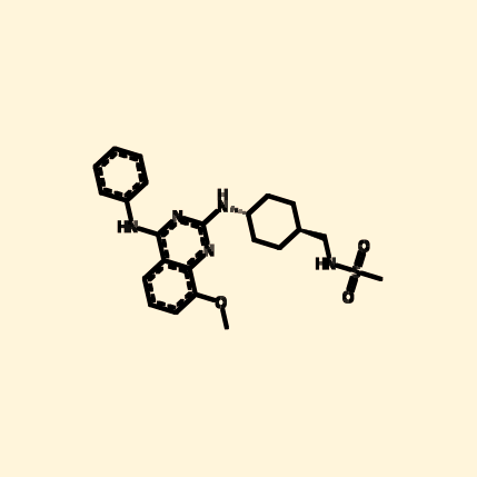 COc1cccc2c(Nc3ccccc3)nc(N[C@H]3CC[C@H](CNS(C)(=O)=O)CC3)nc12